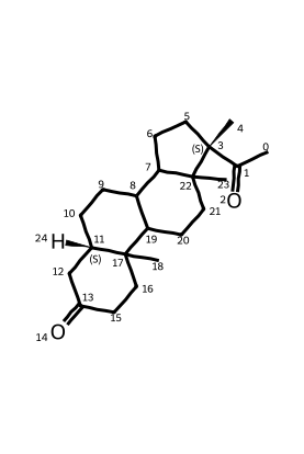 CC(=O)[C@@]1(C)CCC2C3CC[C@H]4CC(=O)CCC4(C)C3CCC21C